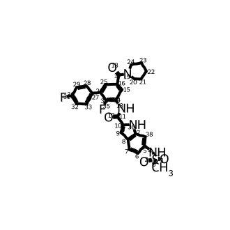 CS(=O)(=O)Nc1ccc2cc(C(=O)Nc3cc(C(=O)N4CCCCC4)cc(-c4ccc(F)cc4)c3F)[nH]c2c1